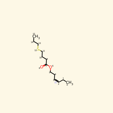 CC/C=C\CCOC(=O)CCCSCCC